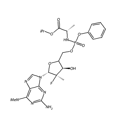 CNc1nc(N)nc2c1ncn2[C@@H]1OC(COP(=O)(N[C@@H](C)C(=O)OC(C)C)Oc2ccccc2)[C@@H](O)[C@@]1(C)F